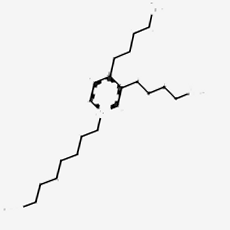 CCCCCCCCCCCCCCCCC[n+]1ccc(CCCCCCCCCCCCCC)c(CCCCCCCCCCCCCC)c1